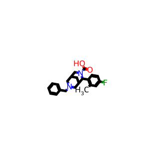 Cc1cc(F)ccc1C1C2CC(CN(Cc3ccccc3)C2)CN1C(=O)O